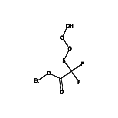 CCOC(=O)C(F)(F)SOOO